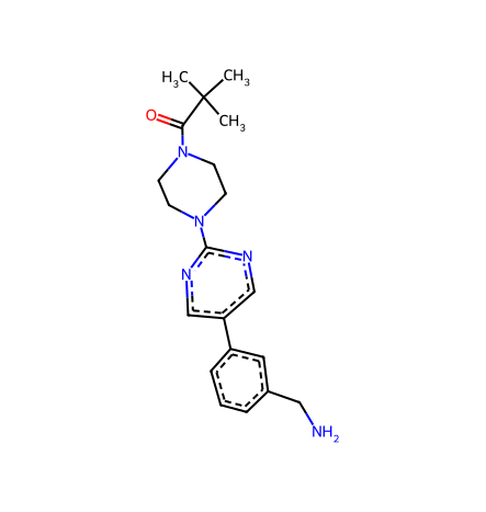 CC(C)(C)C(=O)N1CCN(c2ncc(-c3cccc(CN)c3)cn2)CC1